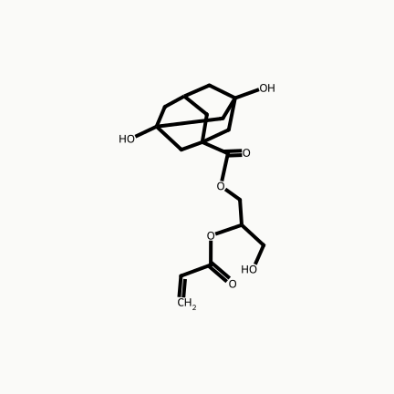 C=CC(=O)OC(CO)COC(=O)C12CC3CC(O)(CC(O)(C3)C1)C2